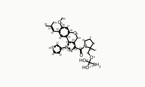 BC(O)(O)OCC1(C)CCCN1C(=O)c1nn(-c2ccsc2)c2c1COc1cc(OC)c(C=C(C)C)cc1-2